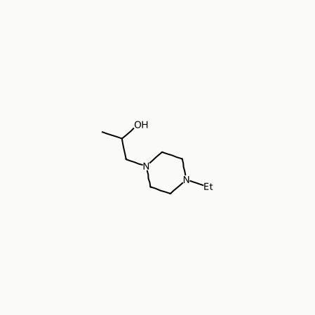 CCN1CCN(CC(C)O)CC1